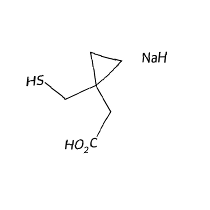 O=C(O)CC1(CS)CC1.[NaH]